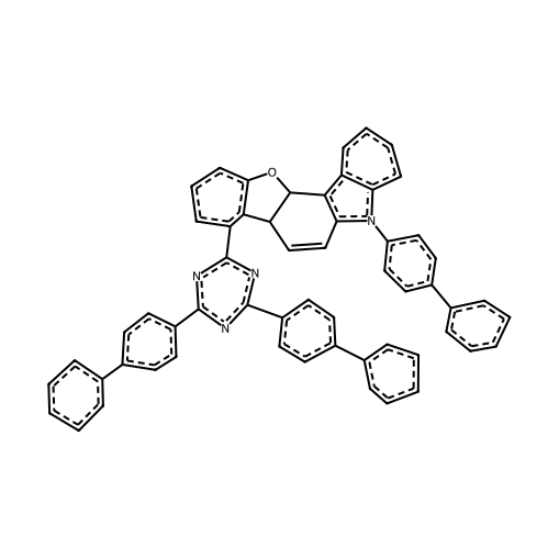 C1=CC2c3c(cccc3-c3nc(-c4ccc(-c5ccccc5)cc4)nc(-c4ccc(-c5ccccc5)cc4)n3)OC2c2c1n(-c1ccc(-c3ccccc3)cc1)c1ccccc21